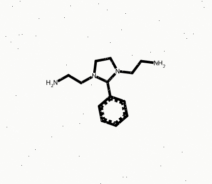 NCCN1CCN(CCN)C1c1ccccc1